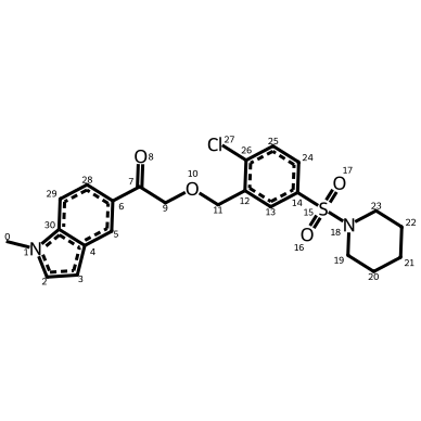 Cn1ccc2cc(C(=O)COCc3cc(S(=O)(=O)N4CCCCC4)ccc3Cl)ccc21